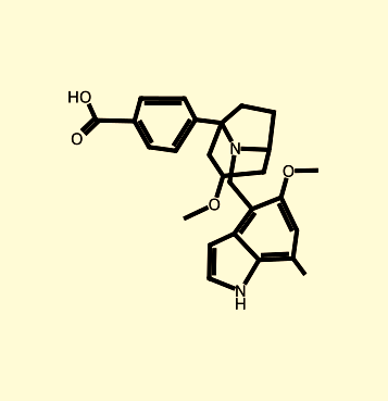 COc1cc(C)c2[nH]ccc2c1CN1C2CCC1(c1ccc(C(=O)O)cc1)CC(OC)C2